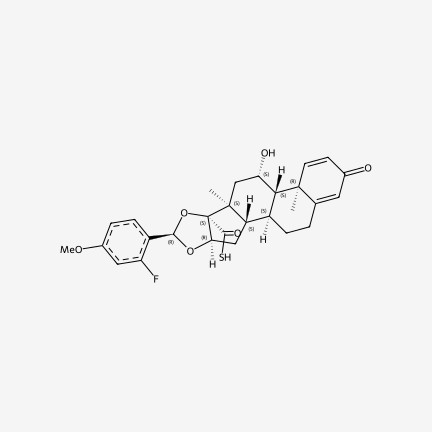 COc1ccc([C@@H]2O[C@@H]3C[C@H]4[C@@H]5CCC6=CC(=O)C=C[C@]6(C)[C@H]5[C@@H](O)C[C@]4(C)[C@]3(C(=O)S)O2)c(F)c1